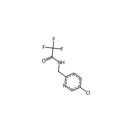 O=C(NCc1ccc(Cl)cn1)C(F)(F)F